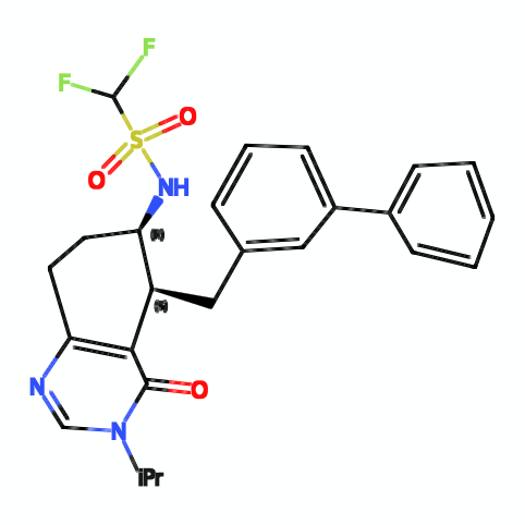 CC(C)n1cnc2c(c1=O)[C@H](Cc1cccc(-c3ccccc3)c1)[C@H](NS(=O)(=O)C(F)F)CC2